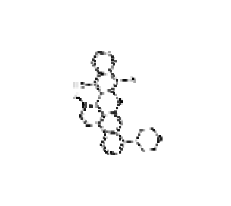 Cc1c2c(c(C(C)C)c3ccccc13)Oc1cc3c(C4CCOCC4)cccc3c3cc[n+](C)c-2c13